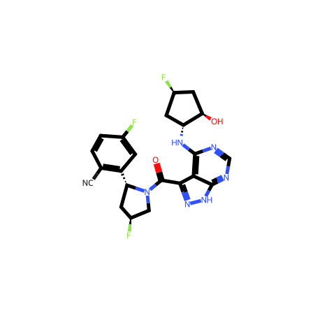 N#Cc1ccc(F)cc1[C@H]1C[C@H](F)CN1C(=O)c1n[nH]c2ncnc(N[C@@H]3C[C@@H](F)C[C@H]3O)c12